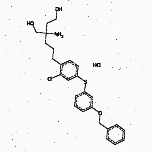 Cl.NC(CO)(CCO)CCCc1ccc(Sc2cccc(OCc3ccccc3)c2)cc1Cl